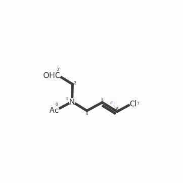 CC(=O)N(CC=O)C/C=C/Cl